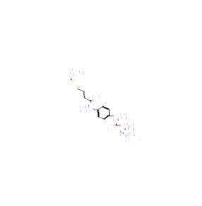 CCC(C)CSCCCC(=O)Nc1ccc(NC(=O)NN)cc1